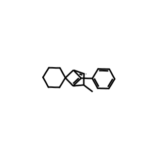 CC1[C]=C2C(c3ccccc3)=C1C21CCCCC1